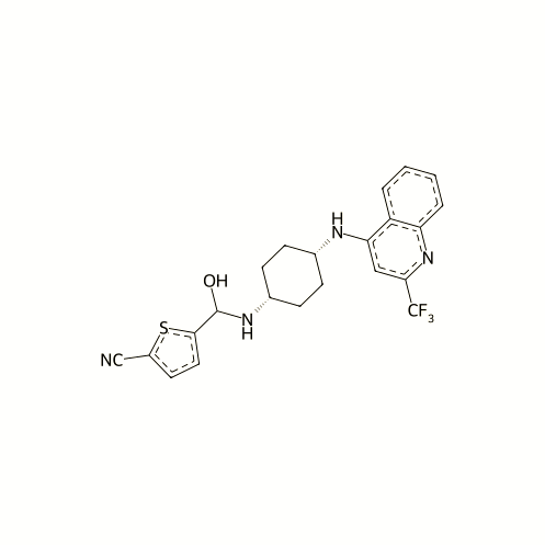 N#Cc1ccc(C(O)N[C@H]2CC[C@@H](Nc3cc(C(F)(F)F)nc4ccccc34)CC2)s1